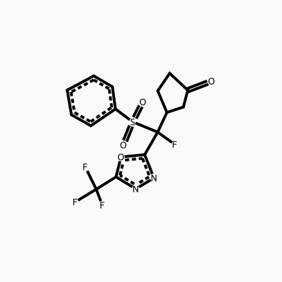 O=C1CCC(C(F)(c2nnc(C(F)(F)F)o2)S(=O)(=O)c2ccccc2)C1